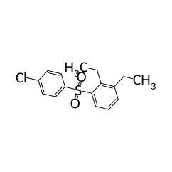 CCc1cccc(S(=O)(=O)c2ccc(Cl)cc2)c1CC